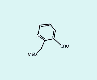 COCc1ncccc1C=O